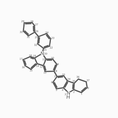 C1=Cc2[nH]c3ccc(-c4ccc5c(c4)c4ccccc4n5-c4cccc(-c5ccccc5)c4)cc3c2CC1